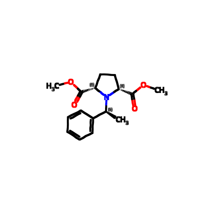 COC(=O)[C@H]1CC[C@@H](C(=O)OC)N1[C@@H](C)c1ccccc1